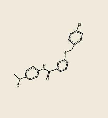 C[S+]([O-])c1ccc(NC(=O)c2cccc(SCc3ccc(Cl)cc3)c2)cc1